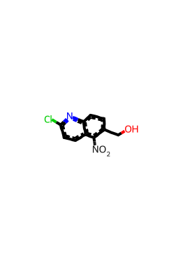 O=[N+]([O-])c1c(CO)ccc2nc(Cl)ccc12